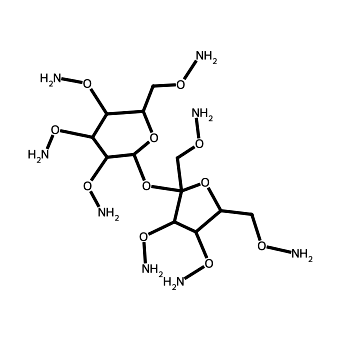 NOCC1OC(OC2(CON)OC(CON)C(ON)C2ON)C(ON)C(ON)C1ON